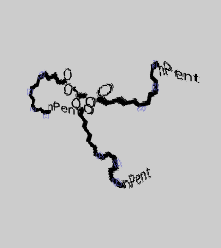 CCCCC/C=C\C/C=C\C/C=C\C/C=C\CCCC(=O)OC[C@@H](COC(=O)CCCC/C=C\C/C=C\C/C=C\CCCCC)OC(=O)CCCCCC/C=C\C/C=C\C/C=C\CCCCC